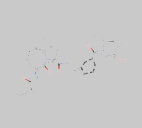 CN[C@@H](C)C(=O)N[C@H]1CCCC[C@H]2CC[C@@H](C(=O)NCc3cccc(C(=O)N4CC(O)CCC4C=O)c3)N2C1=O